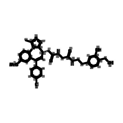 COc1ccc2c(c1)C(c1ccc(Cl)cc1)=N[C@@H](CC(=O)NCC(=O)NCCc1ccc(CO)c(O)c1)c1nnc(C)n1-2